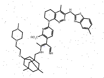 C/C(NCC12CC3(C)CC(C)(C1)CC(OCCN1CCN(C)CC1)(C3)C2)=C(/C=N)c1ccc(N2CCCc3c2nnc(Nc2nc4cc(C)ccc4s2)c3C)nc1C(=O)O